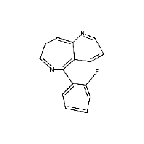 Fc1ccccc1C1=c2cccnc2=CCC=N1